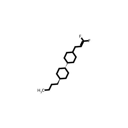 CCCC[C@H]1CC[C@H](C2CCC(CC=C(F)F)CC2)CC1